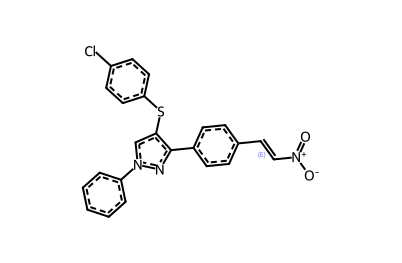 O=[N+]([O-])/C=C/c1ccc(-c2nn(-c3ccccc3)cc2Sc2ccc(Cl)cc2)cc1